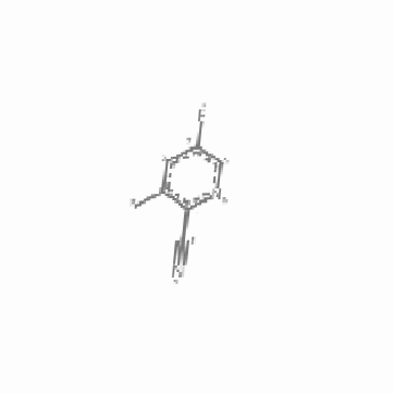 Cc1cc(F)cnc1C#N